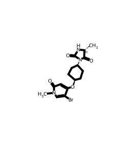 C[C@H]1NC(=O)N([C@H]2CC[C@H](Oc3cc(=O)n(C)cc3Br)CC2)C1=O